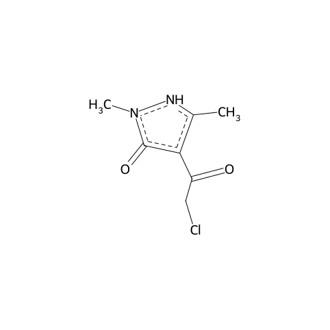 Cc1[nH]n(C)c(=O)c1C(=O)CCl